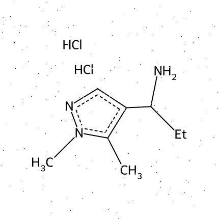 CCC(N)c1cnn(C)c1C.Cl.Cl